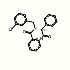 NC(=O)[C@@H](c1ccccc1)N(Cc1cccc(Cl)c1)C(=O)c1ccccc1